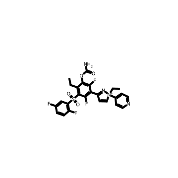 CCc1c(OC(N)=O)c(F)c(C2=N[N+](CC)(c3ccncc3)C=C2)c(F)c1S(=O)(=O)c1cc(F)ccc1F